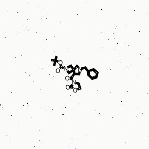 CC(C)(C)OC(=O)N1CC2(CN(Cc3ccccc3)CC2C(=O)N2CCOC2=O)C1